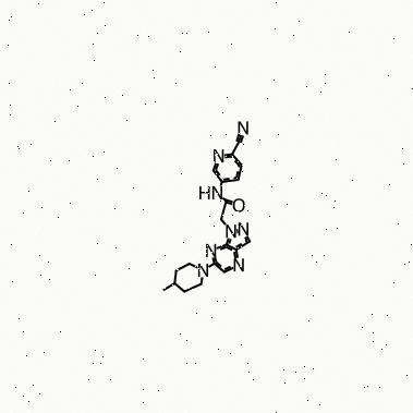 CC1CCN(c2cnc3cnn(CC(=O)Nc4ccc(C#N)nc4)c3n2)CC1